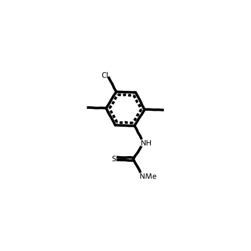 CNC(=S)Nc1cc(C)c(Cl)cc1C